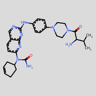 CC(C)C(N)C(=O)N1CCN(c2ccc(Nc3ncc4ccc(N(C(N)=O)C5CC=CCC5)nc4n3)cc2)CC1